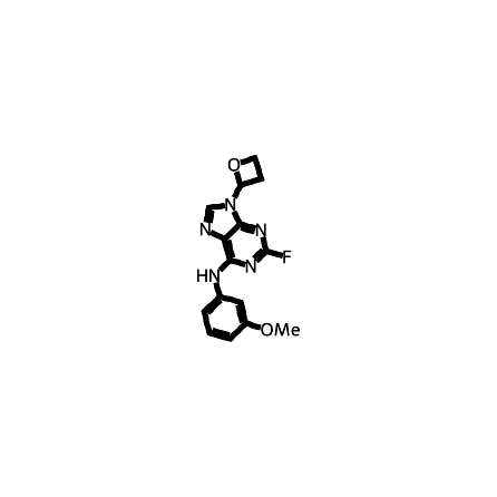 COc1cccc(Nc2nc(F)nc3c2ncn3C2CCO2)c1